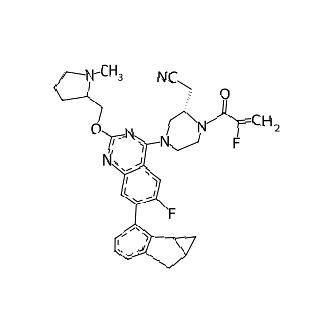 C=C(F)C(=O)N1CCN(c2nc(OCC3CCCN3C)nc3cc(-c4cccc5c4C4CC4C5)c(F)cc23)C[C@@H]1CC#N